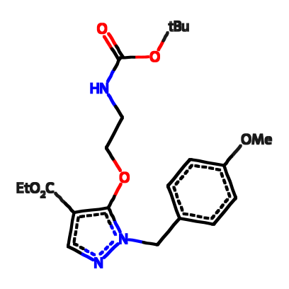 CCOC(=O)c1cnn(Cc2ccc(OC)cc2)c1OCCNC(=O)OC(C)(C)C